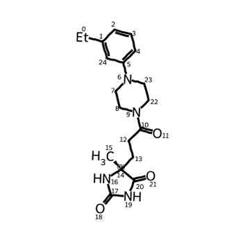 CCc1cccc(N2CCN(C(=O)CC[C@@]3(C)NC(=O)NC3=O)CC2)c1